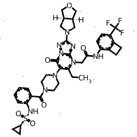 CCc1c(N2CCN(C(=O)c3ccccc3NS(=O)(=O)C3CC3)CC2)c(=O)n2nc(N3C[C@H]4COC[C@H]4C3)nc2n1CC(=O)Nc1ccc(C(F)(F)F)c2c1CC2